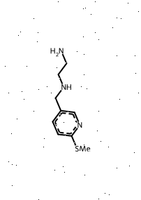 CSc1ccc(CNCCN)cn1